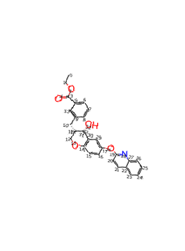 CCOC(=O)c1cccc(C[C@H]2COc3ccc(Oc4ccc5ccccc5n4)cc3[C@H]2O)c1